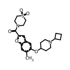 Cc1cc2oc(C(=O)N3CCS(=O)(=O)CC3)cc2cc1OC1CCN(C2CCC2)CC1